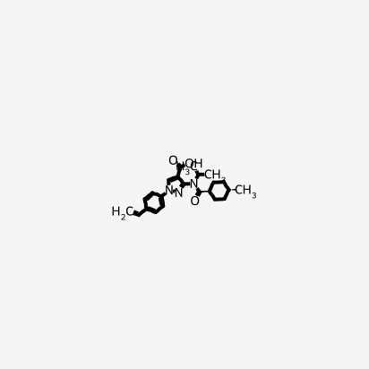 C=Cc1ccc(-n2cc(C(=O)O)c(N(C(=O)[C@H]3CC[C@H](C)CC3)C(C)C)n2)cc1